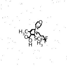 CSC1=C(C(=O)O)C(C)=CC(N2CCOCC2)N1CCCC(F)(F)F